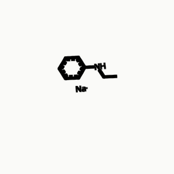 CCNc1ccccc1.[Na]